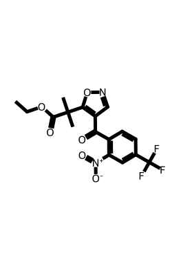 CCOC(=O)C(C)(C)c1oncc1C(=O)c1ccc(C(F)(F)F)cc1[N+](=O)[O-]